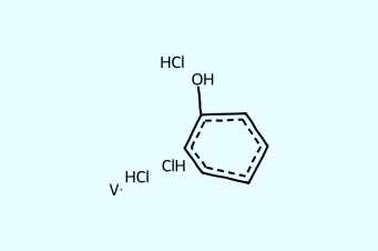 Cl.Cl.Cl.Oc1ccccc1.[V]